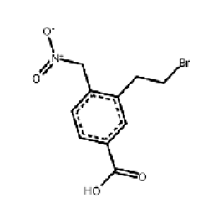 O=C(O)c1ccc(C[N+](=O)[O-])c(CCBr)c1